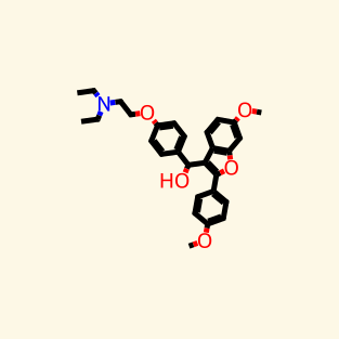 CCN(CC)CCOc1ccc(C(O)c2c(-c3ccc(OC)cc3)oc3cc(OC)ccc23)cc1